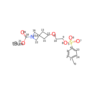 Cc1ccc(S(=O)(=O)OCCOC2CC3(C2)CN(C(=O)OC(C)(C)C)C3)cc1